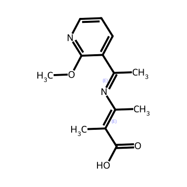 COc1ncccc1/C(C)=N/C(C)=C(\C)C(=O)O